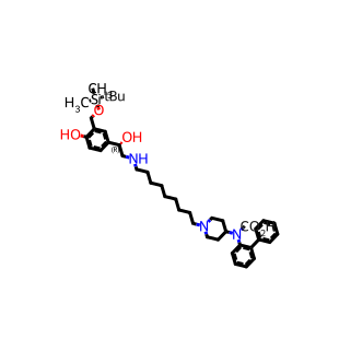 CC(C)(C)[Si](C)(C)OCc1cc([C@@H](O)CNCCCCCCCCCN2CCC(N(C(=O)O)c3ccccc3-c3ccccc3)CC2)ccc1O